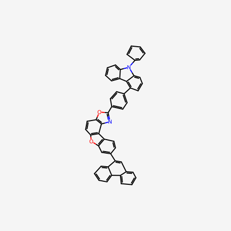 c1ccc(-n2c3ccccc3c3c(-c4ccc(-c5nc6c(ccc7oc8cc(-c9cc%10ccccc%10c%10ccccc9%10)ccc8c76)o5)cc4)cccc32)cc1